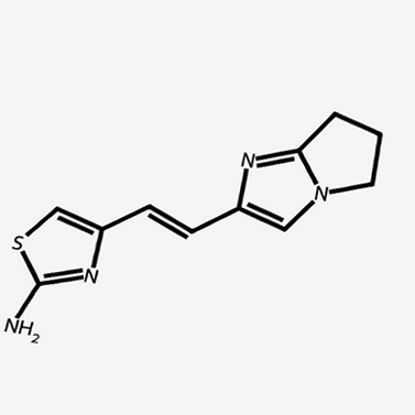 Nc1nc(C=Cc2cn3c(n2)CCC3)cs1